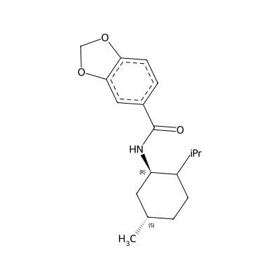 CC(C)C1CC[C@H](C)C[C@H]1NC(=O)c1ccc2c(c1)OCO2